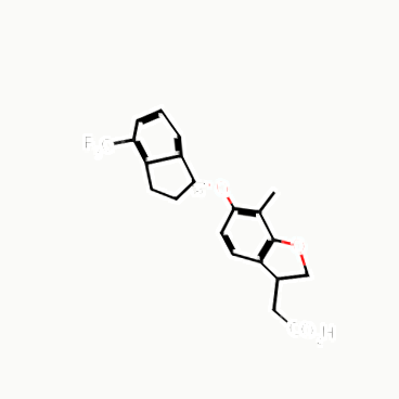 Cc1c(O[C@@H]2CCc3c2cccc3C(F)(F)F)ccc2c1OCC2CC(=O)O